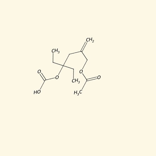 C=C(COC(C)=O)CC(CC)(CC)OC(=O)O